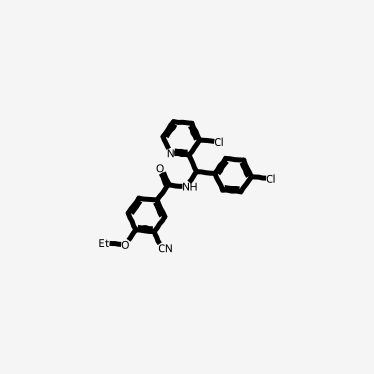 CCOc1ccc(C(=O)NC(c2ccc(Cl)cc2)c2ncccc2Cl)cc1C#N